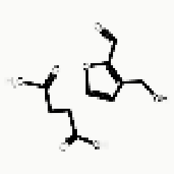 CC(=O)CCC(=O)O.O=Cc1occc1CO